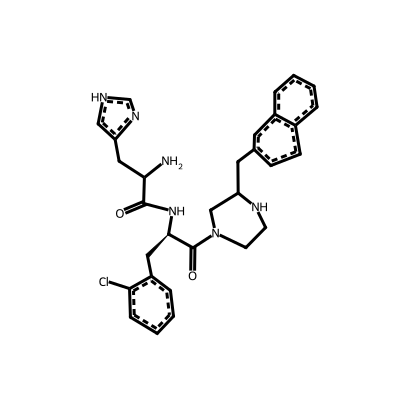 NC(Cc1c[nH]cn1)C(=O)N[C@H](Cc1ccccc1Cl)C(=O)N1CCNC(Cc2ccc3ccccc3c2)C1